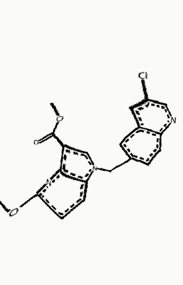 COC(=O)c1cn(Cc2ccc3ncc(Cl)cc3c2)c2ccc(OC)nc12